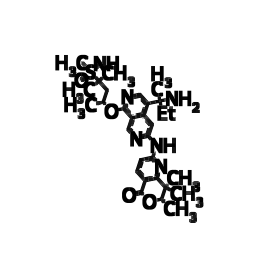 CCC(C)(N)c1cnc(O[C@@H](C)CC(C)(C)S(C)(=N)=O)c2cnc(Nc3ccc4c(n3)C(C)(C)[C@@H](C)OC4=O)cc12